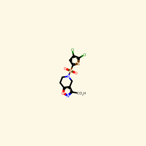 O=C(O)c1noc2c1CN(S(=O)(=O)c1cc(Cl)c(Cl)s1)CC2